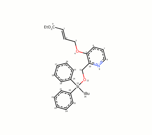 CCOC(=O)/C=C/COc1cccnc1CO[Si](c1ccccc1)(c1ccccc1)C(C)(C)C